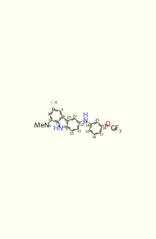 CNc1cc(F)cc2c1[nH]c1ccc(Nc3cccc(OC(F)(F)F)c3)cc12